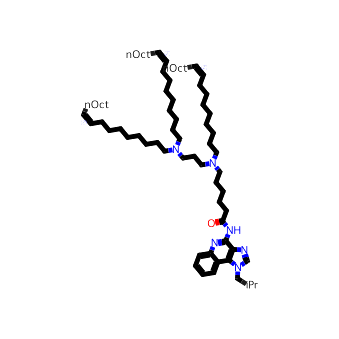 CCCCCCCC/C=C\CCCCCCCCN(CCCCCCCC/C=C\CCCCCCCC)CCCN(CCCCCCCC/C=C\CCCCCCCC)CCCCCC(=O)Nc1nc2ccccc2c2c1ncn2CC(C)C